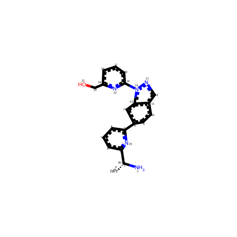 CCC[C@@H](N)c1cccc(-c2ccc3cnn(-c4cccc(CO)n4)c3c2)n1